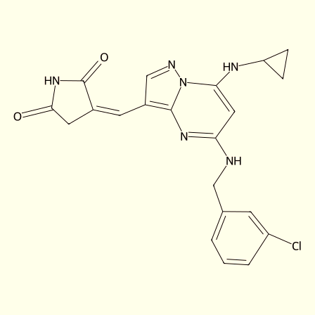 O=C1CC(=Cc2cnn3c(NC4CC4)cc(NCc4cccc(Cl)c4)nc23)C(=O)N1